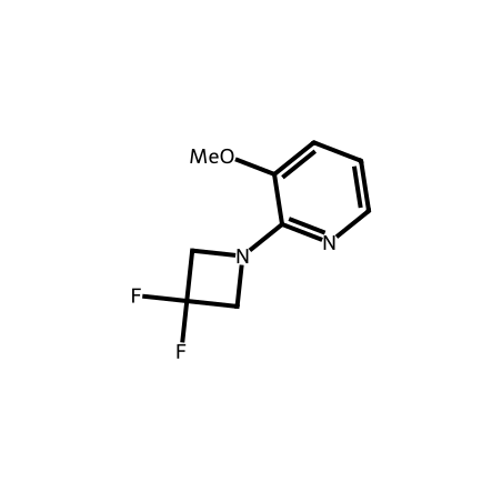 COc1cccnc1N1CC(F)(F)C1